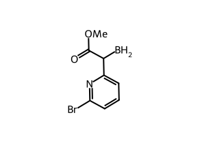 BC(C(=O)OC)c1cccc(Br)n1